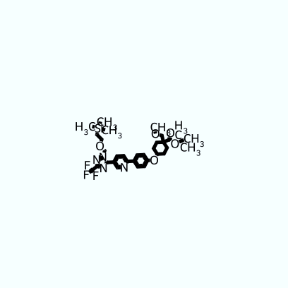 COCC1(C(=O)OC(C)(C)C)CCC(Oc2ccc(-c3ccc(-c4nc(C(F)(F)F)nn4COCC[Si](C)(C)C)cn3)cc2)CC1